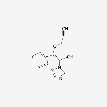 C#CCOC(=C(C)n1cncn1)c1ccccc1